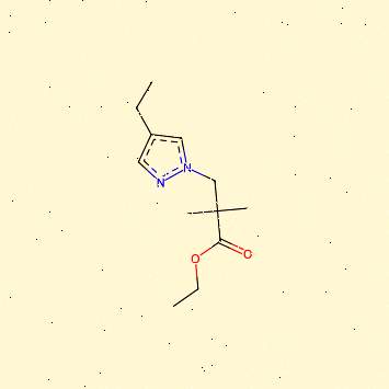 CCOC(=O)C(C)(C)Cn1cc(CC)cn1